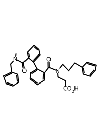 CN(Cc1ccccc1)C(=O)c1ccccc1-c1ccccc1C(=O)N(CCCc1ccccc1)CCC(=O)O